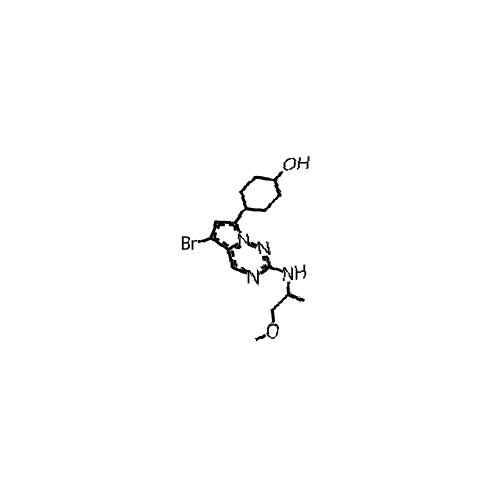 COCC(C)Nc1ncc2c(Br)cc(C3CCC(O)CC3)n2n1